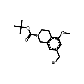 COc1cc(CBr)cc2c1CCN(C(=O)OC(C)(C)C)C2